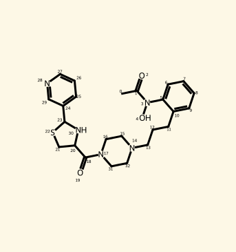 CC(=O)N(O)c1ccccc1CCCN1CCN(C(=O)C2CSC(c3cccnc3)N2)CC1